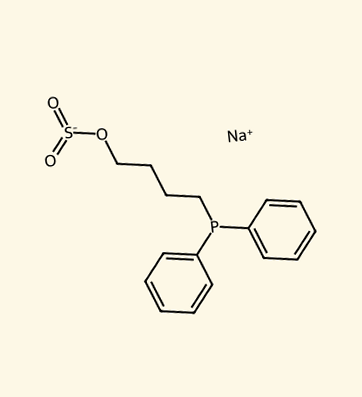 O=[S-](=O)OCCCCP(c1ccccc1)c1ccccc1.[Na+]